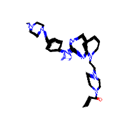 C=CC(=O)N1CCN(CCN2CC=Cc3cnc(Nc4ccc(N5CCN(C)CC5)cc4)nc32)CC1